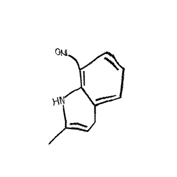 Cc1cc2cccc(N=O)c2[nH]1